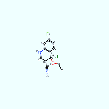 CCOC1(Cl)c2ccc(F)cc2N=CC1C#N